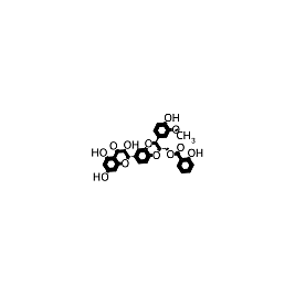 COc1cc([C@@H]2Oc3cc([C@@H]4Oc5cc(O)cc(O)c5C(=O)[C@H]4O)ccc3O[C@H]2COC(=O)c2ccccc2O)ccc1O